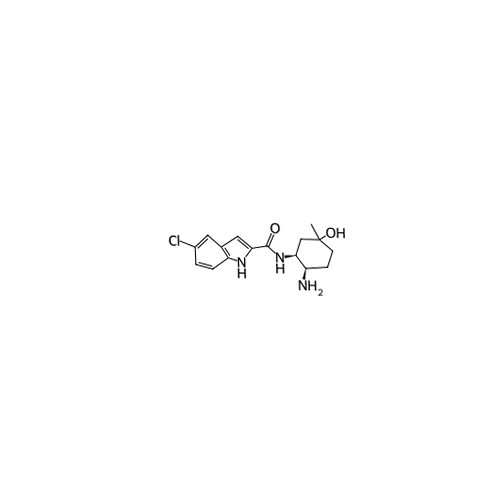 CC1(O)CC[C@@H](N)[C@@H](NC(=O)c2cc3cc(Cl)ccc3[nH]2)C1